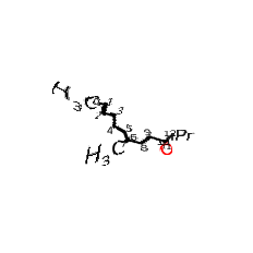 CC=CCCCC(C)CCC(=O)C(C)C